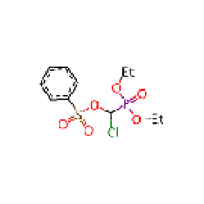 CCOP(=O)(OCC)C(Cl)OS(=O)(=O)c1ccccc1